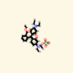 CCOC(=O)c1ccccc1-c1c2ccc(=[N+](CC)C(C)O[Cl+3]([O-])([O-])[O-])cc-2oc2cc(N(CC)CC)ccc12